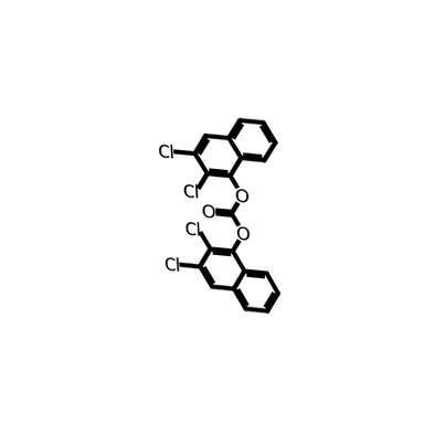 O=C(Oc1c(Cl)c(Cl)cc2ccccc12)Oc1c(Cl)c(Cl)cc2ccccc12